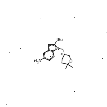 CC1(C)CC[C@H](Cn2c(C(C)(C)C)cc3cc(N)ccc32)CO1